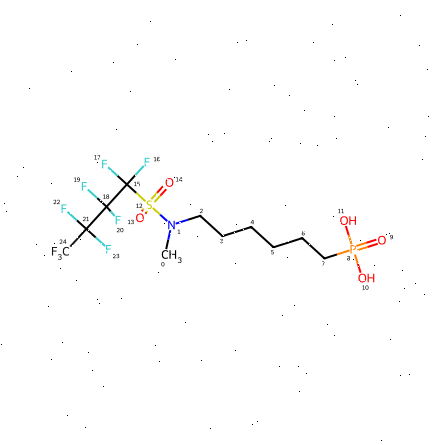 CN(CCCCCCP(=O)(O)O)S(=O)(=O)C(F)(F)C(F)(F)C(F)(F)C(F)(F)F